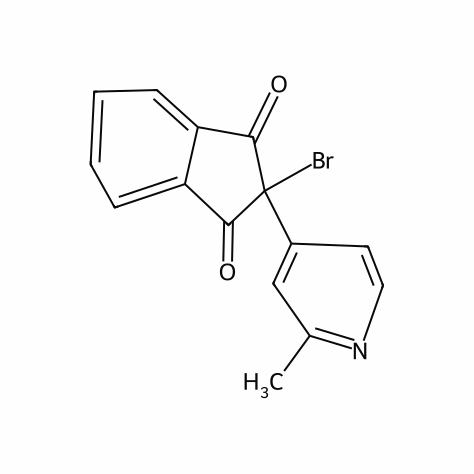 Cc1cc(C2(Br)C(=O)c3ccccc3C2=O)ccn1